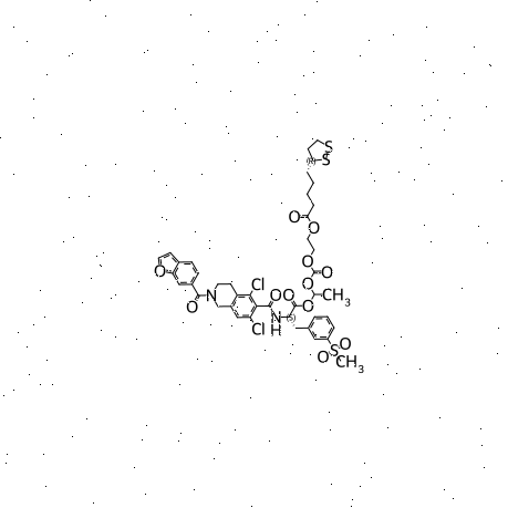 CC(OC(=O)OCCOC(=O)CCCC[C@@H]1CCSS1)OC(=O)[C@H](Cc1cccc(S(C)(=O)=O)c1)NC(=O)c1c(Cl)cc2c(c1Cl)CCN(C(=O)c1ccc3ccoc3c1)C2